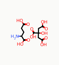 NC(CCC(=O)O)C(=O)O.O=C(O)CC(O)(CC(=O)O)C(=O)O